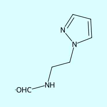 O=[C]NCCn1cccn1